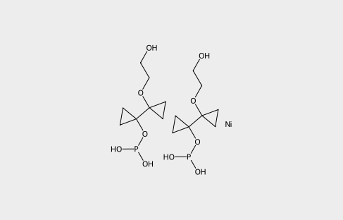 OCCOC1(C2(OP(O)O)CC2)CC1.OCCOC1(C2(OP(O)O)CC2)CC1.[Ni]